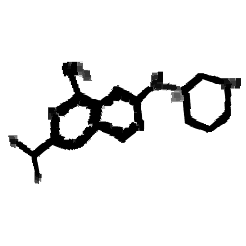 Nc1nc(C(F)F)cc2cnc(N[C@H]3CCCNC3)cc12